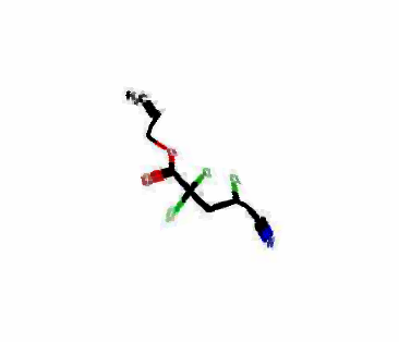 C=CCOC(=O)C(Cl)(Cl)CC(Cl)C#N